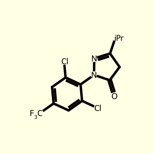 CC(C)C1=NN(c2c(Cl)cc(C(F)(F)F)cc2Cl)C(=O)C1